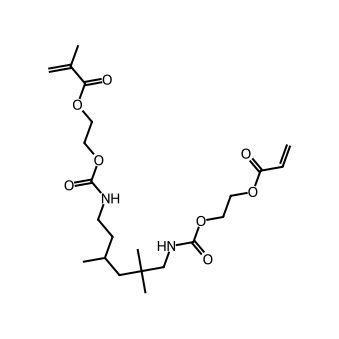 C=CC(=O)OCCOC(=O)NCC(C)(C)CC(C)CCNC(=O)OCCOC(=O)C(=C)C